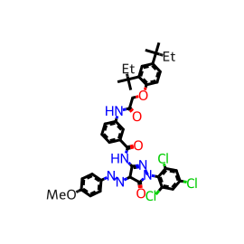 CCC(C)(C)c1ccc(OCC(=O)Nc2cccc(C(=O)NC3=NN(c4c(Cl)cc(Cl)cc4Cl)C(=O)C3N=Nc3ccc(OC)cc3)c2)c(C(C)(C)CC)c1